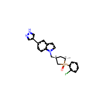 C[C@H]1C[C@H](Cn2ccc3cc(-c4cn[nH]c4)ccc32)C[SH]1(=O)c1ccccc1F